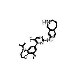 CC(C)N1CCOc2c(F)cc(-c3nc(Nc4ccc5c(c4)CNCCC5)ncc3F)cc21